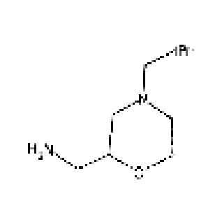 C[C](C)CN1CCOC(CN)C1